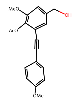 COc1ccc(C#Cc2cc(CO)cc(OC)c2OC(C)=O)cc1